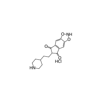 Cl.O=C1c2cc3c(cc2C(=O)C1CCC1CCNCC1)ONO3